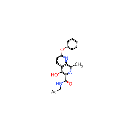 CC(=O)CNC(=O)c1nc(C)c2nc(Oc3ccccc3)ccc2c1O